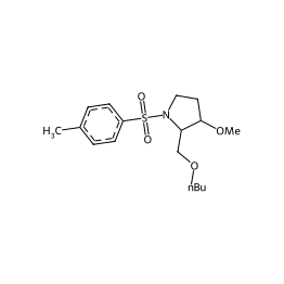 CCCCOCC1C(OC)CCN1S(=O)(=O)c1ccc(C)cc1